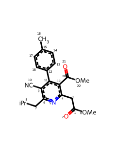 COC(=O)Cc1nc(CC(C)C)c(C#N)c(-c2ccc(C)cc2)c1C(=O)OC